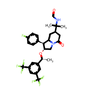 C[C@@H](O[C@H]1CN2C(=O)CC(C(C)(C)NC=O)CC2[C@@H]1c1ccc(F)cc1)c1cc(C(F)(F)F)cc(C(F)(F)F)c1